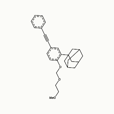 COCCOCOc1ccc(C#Cc2cc[c]cc2)cc1C12CC3CC(CC(C3)C1)C2